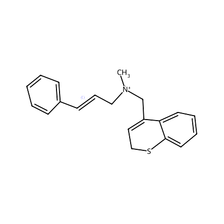 C[N+](C/C=C/c1ccccc1)CC1=CCSc2ccccc21